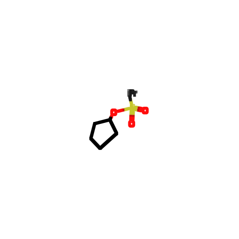 CC(C)S(=O)(=O)OC1CCCC1